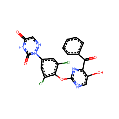 O=C(c1ccccc1)c1nc(Oc2c(Cl)cc(-n3ncc(=O)[nH]c3=O)cc2Cl)ncc1O